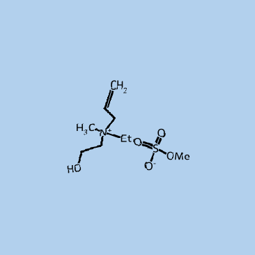 C=CC[N+](C)(CC)CCO.COS(=O)(=O)[O-]